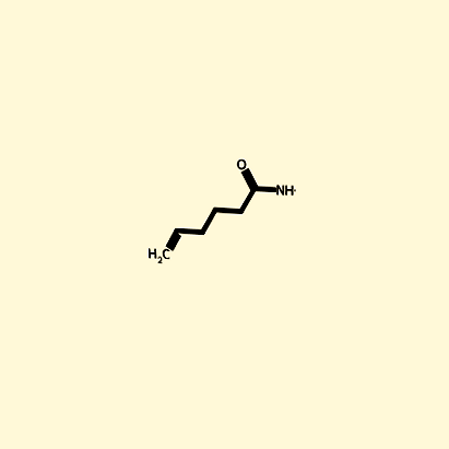 C=CCCCC([NH])=O